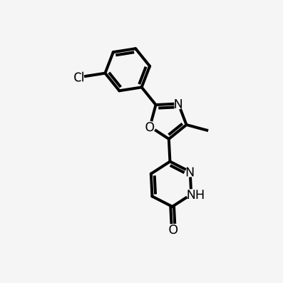 Cc1nc(-c2cccc(Cl)c2)oc1-c1ccc(=O)[nH]n1